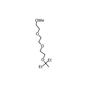 CCC(C)(CC)OCCOCCOCCOC